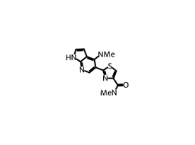 CNC(=O)c1csc(-c2cnc3[nH]ccc3c2NC)n1